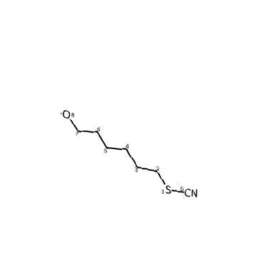 N#CSCCCCCC[O]